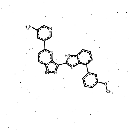 COc1cccc(-c2nccc3[nH]c(-c4n[nH]c5ccc(-c6cncc(N)c6)nc45)nc23)c1